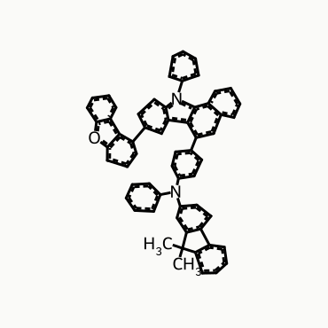 CC1(C)c2ccccc2-c2ccc(N(c3ccccc3)c3ccc(-c4cc5ccccc5c5c4c4cc(-c6cccc7oc8ccccc8c67)ccc4n5-c4ccccc4)cc3)cc21